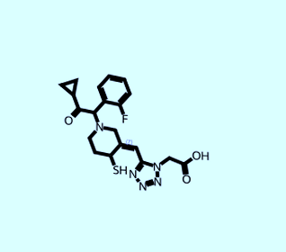 O=C(O)Cn1nnnc1/C=C1/CN(C(C(=O)C2CC2)c2ccccc2F)CCC1S